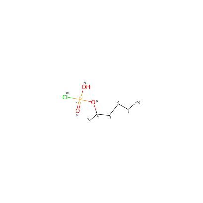 CCCCC(C)OP(=O)(O)Cl